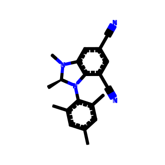 Cc1cc(C)c(N2c3c(C#N)cc(C#N)cc3N(C)[C@@H]2C)c(C)c1